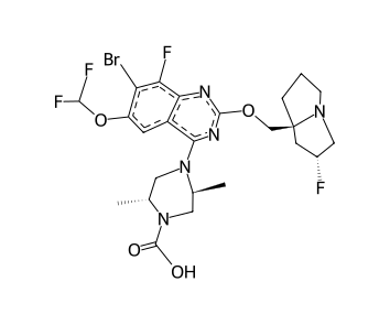 C[C@@H]1CN(c2nc(OC[C@@]34CCCN3C[C@H](F)C4)nc3c(F)c(Br)c(OC(F)F)cc23)[C@@H](C)CN1C(=O)O